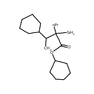 CCCC([SiH3])(C(=O)OC1CCCCC1)C(C)C1CCCCC1